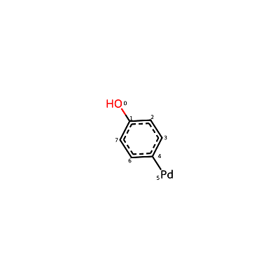 Oc1cc[c]([Pd])cc1